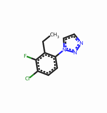 CCc1c(-n2ccnn2)ccc(Cl)c1F